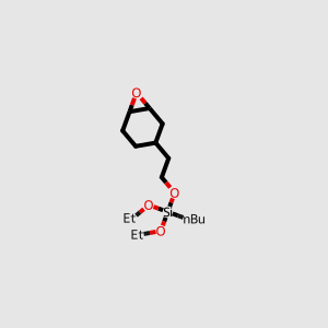 CCCC[Si](OCC)(OCC)OCCC1CCC2OC2C1